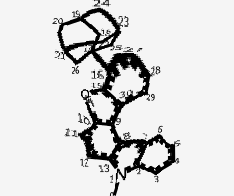 Cn1c2ccccc2c2c3c(ccc21)oc1c(C24CC5CC(CC(C5)C2)C4)cccc13